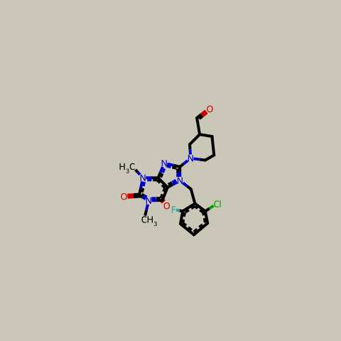 Cn1c(=O)c2c(nc(N3CCCC(C=O)C3)n2Cc2c(F)cccc2Cl)n(C)c1=O